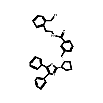 O=C(NCCc1ccccc1CO)c1cccc(C[C@@H]2CCC[C@H]2c2nc(-c3ccccc3)c(-c3ccccc3)o2)c1